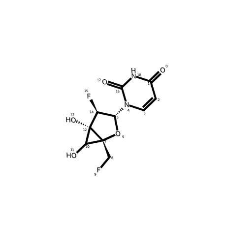 O=c1ccn([C@@H]2O[C@]3(CF)C(O)[C@@]3(O)[C@H]2F)c(=O)[nH]1